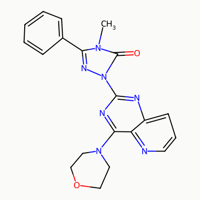 Cn1c(-c2ccccc2)nn(-c2nc(N3CCOCC3)c3ncccc3n2)c1=O